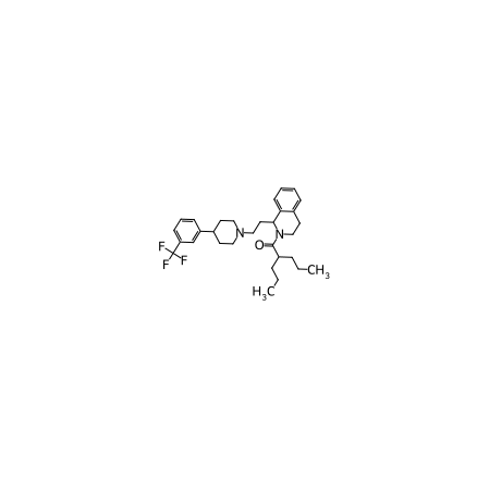 CCCC(CCC)C(=O)N1CCc2ccccc2C1CCN1CCC(c2cccc(C(F)(F)F)c2)CC1